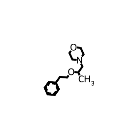 CC(CN1CCOCC1)OCCc1ccccc1